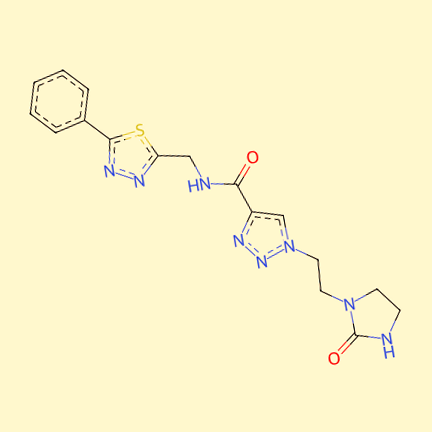 O=C(NCc1nnc(-c2ccccc2)s1)c1cn(CCN2CCNC2=O)nn1